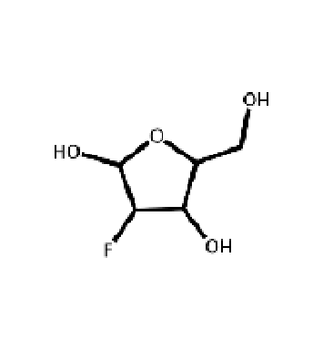 OCC1OC(O)C(F)C1O